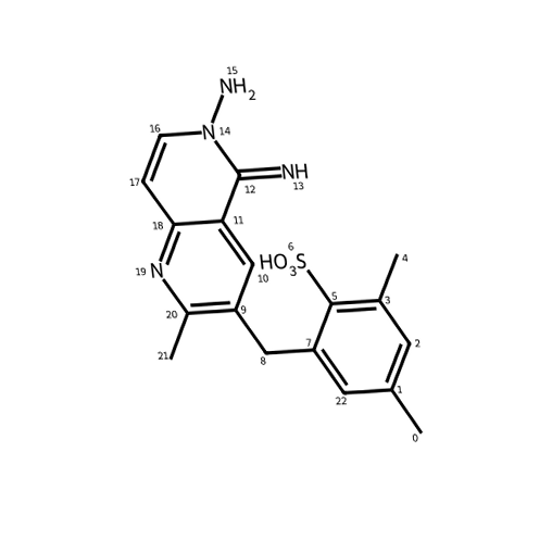 Cc1cc(C)c(S(=O)(=O)O)c(Cc2cc3c(=N)n(N)ccc3nc2C)c1